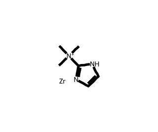 C[N+](C)(C)c1ncc[nH]1.[Zr]